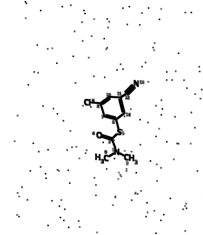 CN(C)C(=O)Sc1cc(Cl)cc(C#N)c1